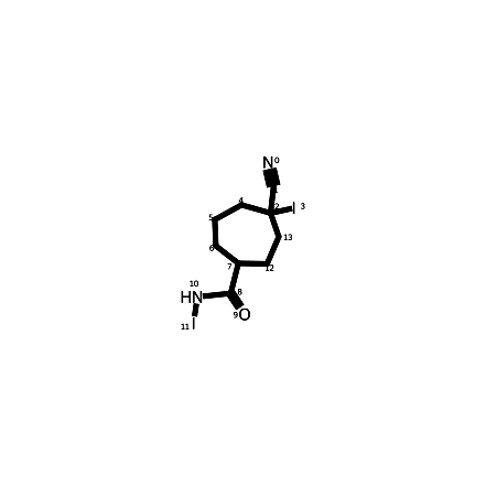 N#CC1(I)CCCC(C(=O)NI)CC1